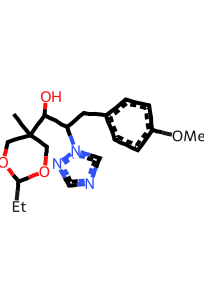 CCC1OCC(C)(C(O)C(Cc2ccc(OC)cc2)n2cncn2)CO1